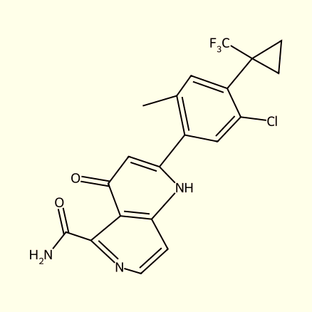 Cc1cc(C2(C(F)(F)F)CC2)c(Cl)cc1-c1cc(=O)c2c(C(N)=O)nccc2[nH]1